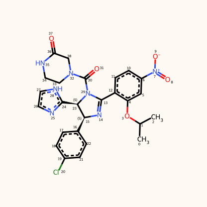 CC(C)Oc1cc([N+](=O)[O-])ccc1C1=N[C@@H](c2ccc(Cl)cc2)[C@@H](c2ncc[nH]2)N1C(=O)N1CCNC(=O)C1